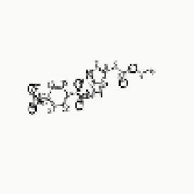 CCOC(=O)Cc1cnc(NS(=O)(=O)c2ccc([N+](=O)[O-])cc2)s1